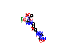 COC(=O)N[C@H](C(=O)N1C(c2ncc(-c3ccc4c(c3)COc3cc5c(ccc6nc([C@@H]7C[C@H](COC(F)F)CN7C(=O)[C@H](NC(=O)OC)c7ccccc7)[nH]c65)cc3-4)[nH]2)CC2CC21)C(C)C